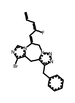 C=C/C=C(F)\C=C1/Cn2nnc(Cc3ccccc3)c2Cc2c(Br)ncn21